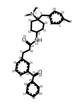 Cc1ccc(CC2(N(C)C)CCC(NC(=O)CCc3cccc(C(=O)c4ccccc4)c3)CC2)cc1